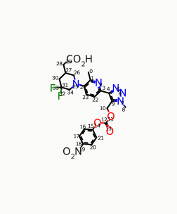 Cc1nc(-c2nnn(C)c2COC(=O)Oc2ccc([N+](=O)[O-])cc2)ccc1N1CC(CC(=O)O)CC(F)(F)C1